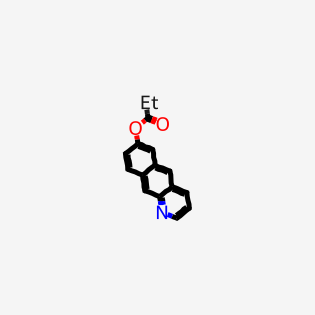 CCC(=O)Oc1ccc2cc3ncccc3cc2c1